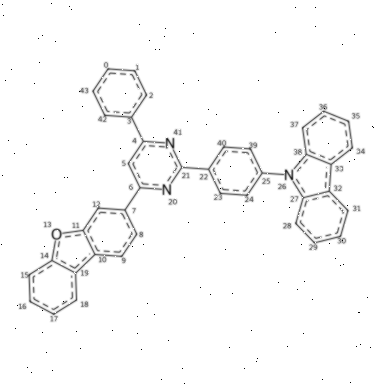 c1ccc(-c2cc(-c3ccc4c(c3)oc3ccccc34)nc(-c3ccc(-n4c5ccccc5c5ccccc54)cc3)n2)cc1